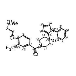 COCCOc1ccc(C(=O)N2CCC3(CC2)Oc2ccccc2-n2cccc23)cc1C(F)(F)F